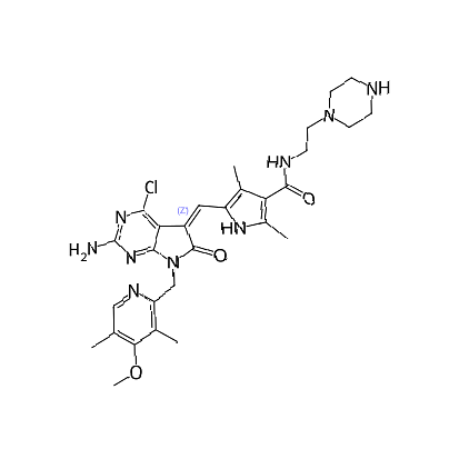 COc1c(C)cnc(CN2C(=O)/C(=C\c3[nH]c(C)c(C(=O)NCCN4CCNCC4)c3C)c3c(Cl)nc(N)nc32)c1C